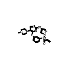 C=CC(=O)Nc1cccc(Oc2nc(Nc3cnn(C)c3)ncc2N2CCN(C)CC2)c1